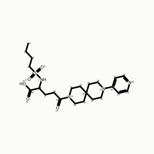 CCCCS(=O)(=O)NC(CCC(=O)N1CCC2(CC1)CCN(c1ccncc1)CC2)C(=O)O